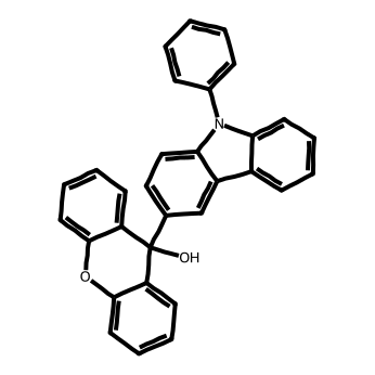 OC1(c2ccc3c(c2)c2ccccc2n3-c2ccccc2)c2ccccc2Oc2ccccc21